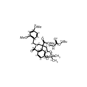 COC(=O)C1([C@H](CNC(=O)OC(C)(C)C)CO[Si](C)(C)C(C)(C)C)CN(Cc2ccc(OC)cc2OC)C(=O)c2ccc(Cl)cc21